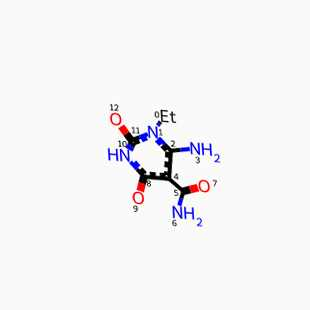 CCn1c(N)c(C(N)=O)c(=O)[nH]c1=O